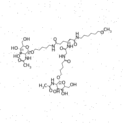 COCCCCCCNC(=O)C[C@H](CCC(=O)NCCCCCO[C@@H]1OC(CO)[C@@H](O)[C@H](O)C1NC(C)=O)NC(=O)CNC(=O)CCCCO[C@@H]1OC(CO)[C@@H](O)[C@H](O)C1NC(C)=O